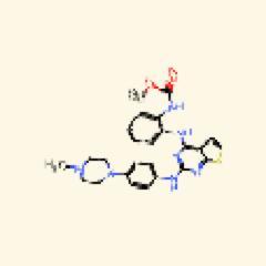 CN1CCN(c2ccc(Nc3nc(Nc4ccccc4NC(=O)OC(C)(C)C)c4ccsc4n3)cc2)CC1